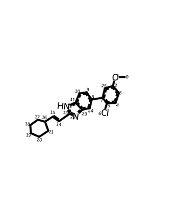 COc1ccc(Cl)c(-c2ccc3[nH]c(C=CC4CCCCC4)nc3c2)c1